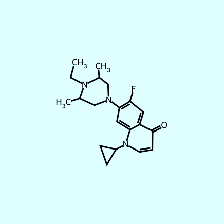 CCN1C(C)CN(c2cc3c(cc2F)c(=O)ccn3C2CC2)CC1C